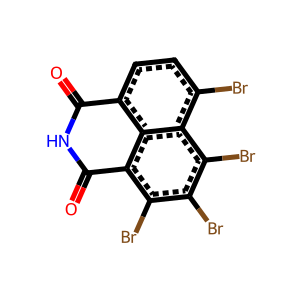 O=C1NC(=O)c2c(Br)c(Br)c(Br)c3c(Br)ccc1c23